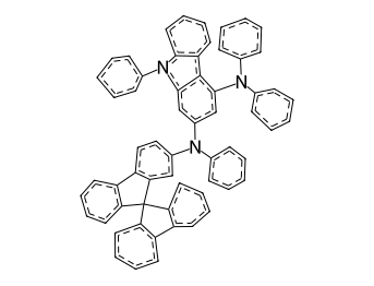 c1ccc(N(c2ccc3c(c2)C2(c4ccccc4-c4ccccc42)c2ccccc2-3)c2cc(N(c3ccccc3)c3ccccc3)c3c4ccccc4n(-c4ccccc4)c3c2)cc1